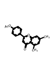 CC(=O)Oc1ccc(-c2cc(=O)c3c(C)cc(C)cc3o2)cc1